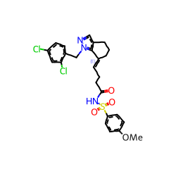 COc1ccc(S(=O)(=O)NC(=O)CC/C=C2\CCCc3cnn(Cc4ccc(Cl)cc4Cl)c32)cc1